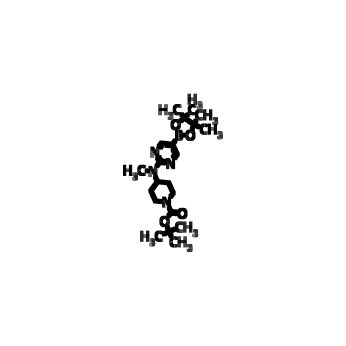 CN(c1ncc(B2OC(C)(C)C(C)(C)O2)cn1)C1CCN(C(=O)OC(C)(C)C)CC1